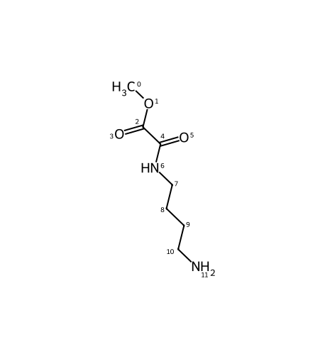 COC(=O)C(=O)NCCCCN